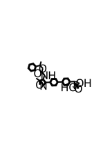 Cc1onc(-c2ccc(-c3ccc(CP(=O)(O)O)cc3)cc2)c1NC(=O)OC(C)c1ccccc1